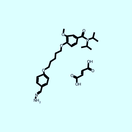 COc1cc(C(=O)N(C(C)C)C(C)C)ccc1OCCCCCOc1ccc(C=NN)cc1.O=C(O)C=CC(=O)O